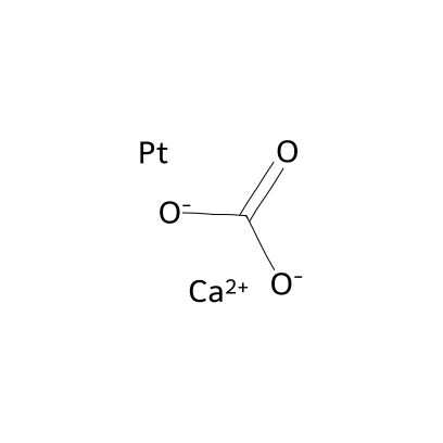 O=C([O-])[O-].[Ca+2].[Pt]